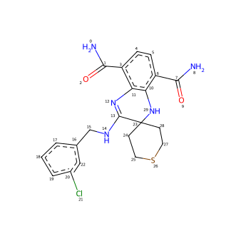 NC(=O)c1ccc(C(N)=O)c2c1N=C(NCc1cccc(Cl)c1)C1(CCSCC1)N2